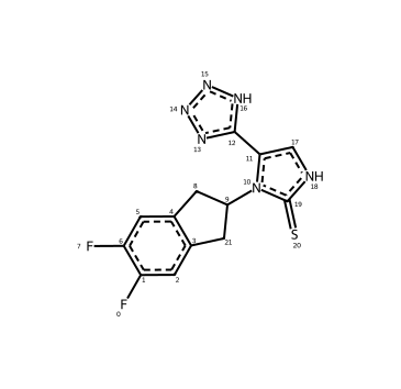 Fc1cc2c(cc1F)CC(n1c(-c3nnn[nH]3)c[nH]c1=S)C2